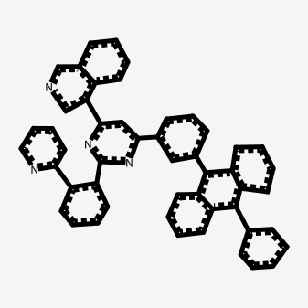 c1ccc(-c2c3ccccc3c(-c3cccc(-c4cc(-c5cncc6ccccc56)nc(-c5ccccc5-c5ccccn5)n4)c3)c3ccccc23)cc1